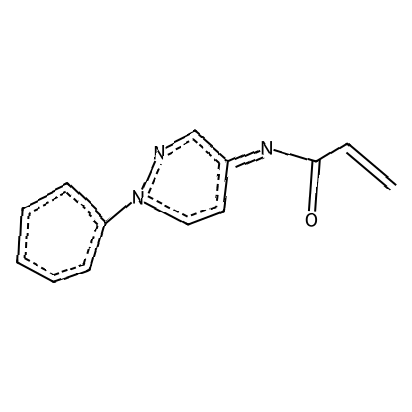 C=CC(=O)N=c1ccn(-c2ccccc2)nc1